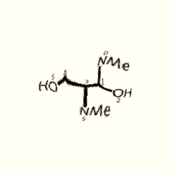 CNC(O)C(CO)NC